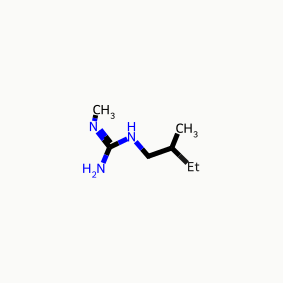 CCC(C)CN/C(N)=N\C